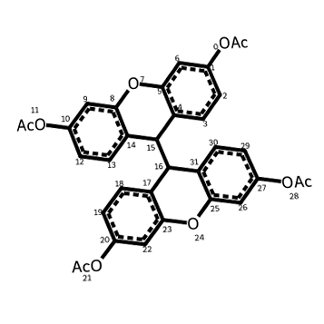 CC(=O)Oc1ccc2c(c1)Oc1cc(OC(C)=O)ccc1C2C1c2ccc(OC(C)=O)cc2Oc2cc(OC(C)=O)ccc21